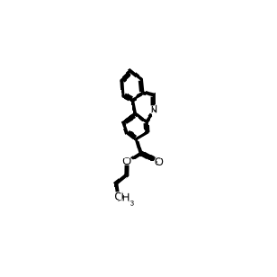 CCCOC(=O)c1ccc2c(c1)ncc1ccccc12